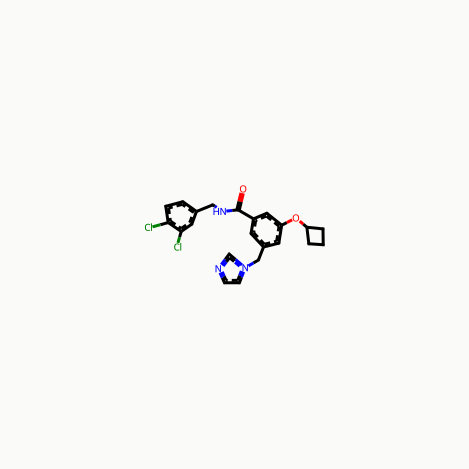 O=C(NCc1ccc(Cl)c(Cl)c1)c1cc(Cn2ccnc2)cc(OC2CCC2)c1